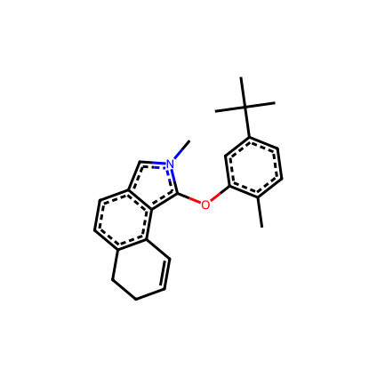 Cc1ccc(C(C)(C)C)cc1Oc1c2c3c(ccc2cn1C)CCC=C3